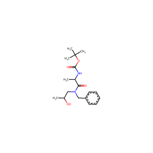 CC(O)CN(Cc1ccccc1)C(=O)C(C)NC(=O)OC(C)(C)C